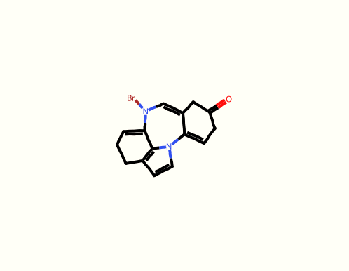 O=C1CC=C2C(=CN(Br)C3=CCCc4ccn2c43)C1